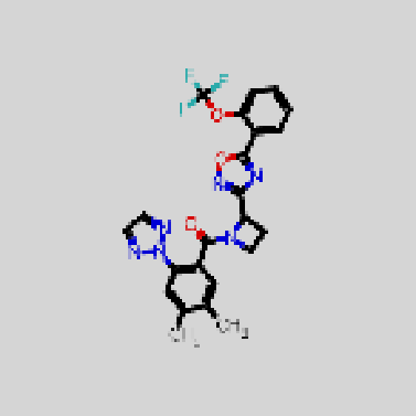 Cc1cc(C(=O)N2CCC2c2noc(-c3ccccc3OC(F)(F)F)n2)c(-n2nccn2)cc1C